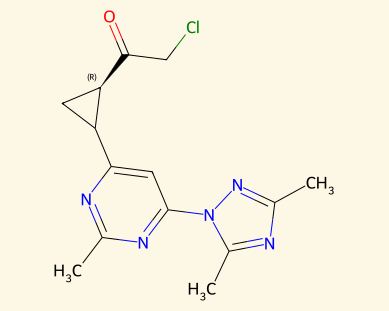 Cc1nc(C2C[C@H]2C(=O)CCl)cc(-n2nc(C)nc2C)n1